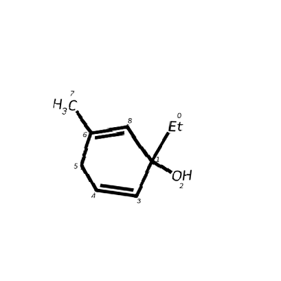 CCC1(O)C=C[CH]C(C)=C1